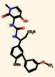 COc1ccc(C(CC(=O)O)NC(=O)Nc2c(O)ccn(C)c2=O)cc1-c1cccc(OC(F)(F)F)c1